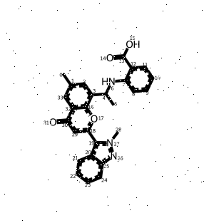 Cc1cc(C(C)Nc2ccccc2C(=O)O)c2oc(-c3c4ccccc4nn3C)cc(=O)c2c1